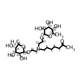 CC(=O)CCCCCN(CCO[C@@H]1O[C@@H](C)[C@@H](O)[C@@H](O)[C@@H]1O)CCO[C@@H]1O[C@@H](C)[C@@H](O)[C@@H](O)[C@@H]1O